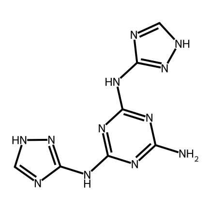 Nc1nc(Nc2nc[nH]n2)nc(Nc2nc[nH]n2)n1